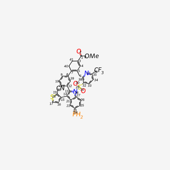 COC(=O)C1=CC(C)=C(c2cccc(-c3c(-c4ccsc4C#N)c4cc(P)ccc4n3S(=O)(=O)c3ccc(C(F)(F)F)nc3)c2)CC1